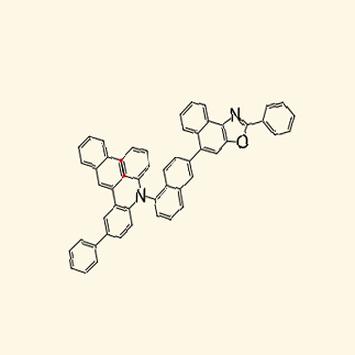 c1ccc(-c2ccc(N(c3ccccc3)c3cccc4cc(-c5cc6oc(-c7ccccc7)nc6c6ccccc56)ccc34)c(-c3ccc4ccccc4c3)c2)cc1